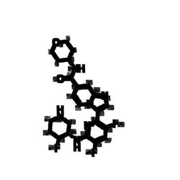 O=C(NC1CCOCC1)c1ccn2c(-c3nc(N[C@H]4CNCC[C@@H]4F)c(F)cc3F)cnc2c1